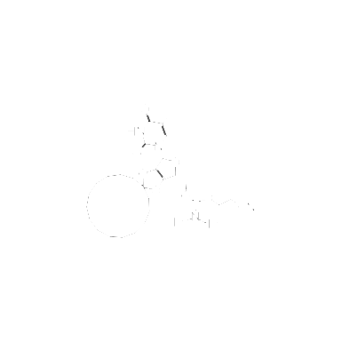 CC(C)N(C(C)C)P(OCCC#N)OC[C@H]1O[C@@H](n2cc(F)c(=O)[nH]c2=O)C2=C1OC1(CCCCCCCCCCCCCC1)O2